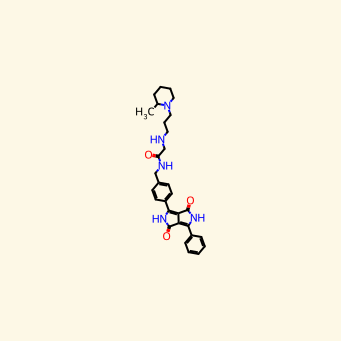 CC1CCCCN1CCCNCC(=O)NCc1ccc(C2=C3C(=O)NC(c4ccccc4)=C3C(=O)N2)cc1